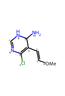 CO/C=C/C1=C(Cl)N=CNC1N